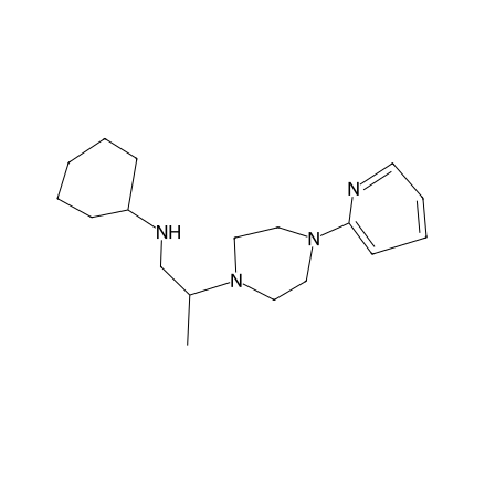 CC(CNC1CCCCC1)N1CCN(c2ccccn2)CC1